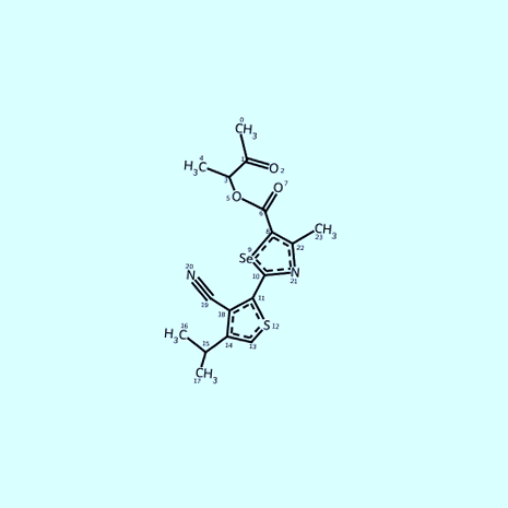 CC(=O)C(C)OC(=O)c1[se]c(-c2scc(C(C)C)c2C#N)nc1C